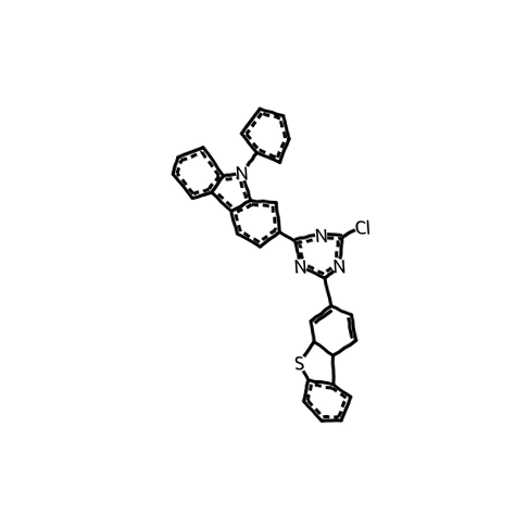 Clc1nc(C2=CC3Sc4ccccc4C3C=C2)nc(-c2ccc3c4ccccc4n(-c4ccccc4)c3c2)n1